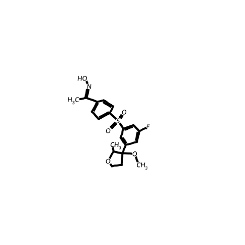 COC1(c2cc(F)cc(S(=O)(=O)c3ccc(/C(C)=N/O)cc3)c2)CCOC1C